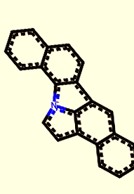 c1ccc2c(c1)cc1c3ccc4ccccc4c3n3ccc2c13